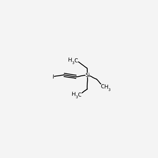 CC[Si](C#CI)(CC)CC